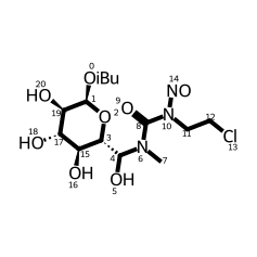 CC(C)CO[C@H]1O[C@H](C(O)N(C)C(=O)N(CCCl)N=O)[C@@H](O)[C@H](O)[C@H]1O